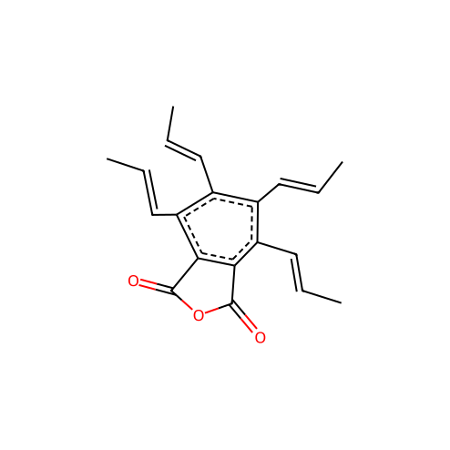 CC=Cc1c(C=CC)c(C=CC)c2c(c1C=CC)C(=O)OC2=O